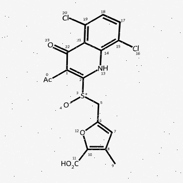 CC(=O)c1c([S+]([O-])Cc2cc(C)c(C(=O)O)o2)[nH]c2c(Cl)ccc(Cl)c2c1=O